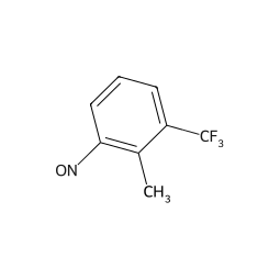 Cc1c(N=O)cccc1C(F)(F)F